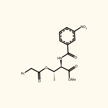 COC(=O)[C@H](NC(=O)c1cccc([N+](=O)[O-])c1)[C@H](C)OC(=O)CC(C)=O